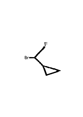 FC(Br)C1CC1